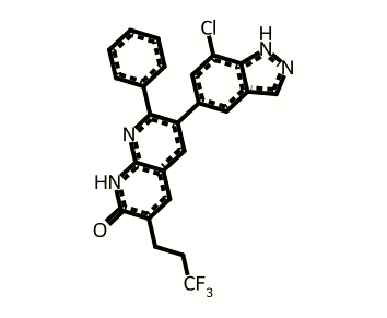 O=c1[nH]c2nc(-c3ccccc3)c(-c3cc(Cl)c4[nH]ncc4c3)cc2cc1CCC(F)(F)F